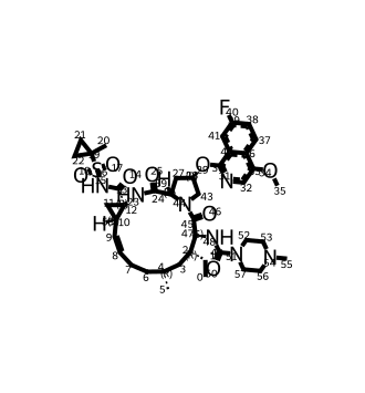 CC[C@@H]1C[C@H](C)CCC=C[C@@H]2C[C@@]2(C(=O)NS(=O)(=O)C2(C)CC2)NC(=O)[C@@H]2C[C@@H](Oc3ncc(OC)c4ccc(F)cc34)CN2C(=O)[C@H]1NC(=O)N1CCN(C)CC1